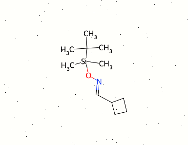 CC(C)(C)[Si](C)(C)ON=CC1CCC1